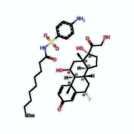 CCCCCCCCCCCCCCCCCC(=O)NS(=O)(=O)c1ccc(N)cc1.C[C@]12C=CC(=O)C=C1[C@@H](F)C[C@@H]1[C@@H]2[C@@H](O)C[C@@]2(C)[C@H]1CC[C@]2(O)C(=O)CO